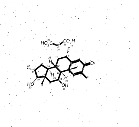 CC1=C[C@@]2(C)C(=CC1=O)[C@@H](F)C[C@@H]1[C@@H]2[C@@H](O)C[C@]2(C)[C@H](O)[C@H](C)C[C@@H]12.O=C(O)SC(=O)O